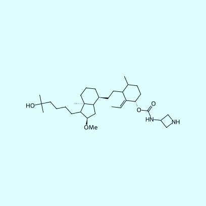 C/C=C1\C(CC[C@@H]2CCC[C@@]3(C)C2C[C@@H](OC)C3CCCCC(C)(C)O)C(C)CC[C@@H]1OC(=O)NC1CNC1